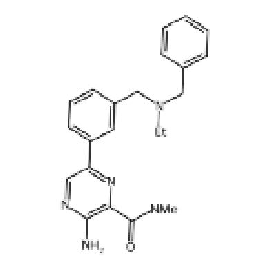 CCN(Cc1ccccc1)Cc1cccc(-c2cnc(N)c(C(=O)NC)n2)c1